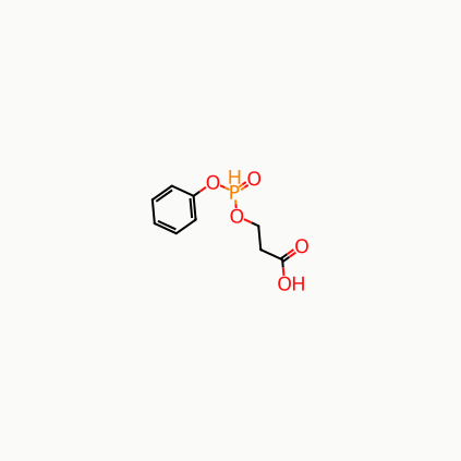 O=C(O)CCO[PH](=O)Oc1ccccc1